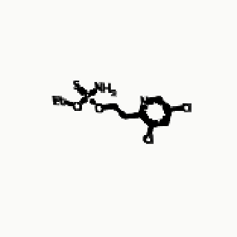 CCOP(N)(=S)OCCc1ncc(Cl)cc1Cl